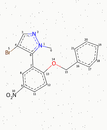 Cn1ncc(Br)c1-c1cc([N+](=O)[O-])ccc1OCc1ccccc1